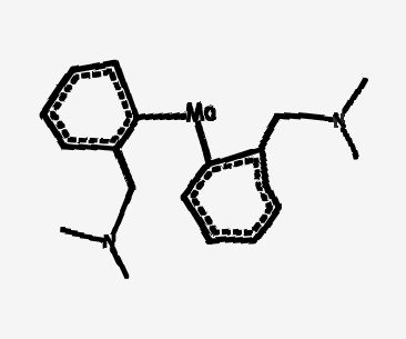 CN(C)Cc1cccc[c]1[Mo][c]1ccccc1CN(C)C